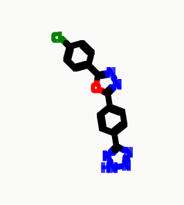 Clc1ccc(-c2nnc(-c3ccc(-c4nn[nH]n4)cc3)o2)cc1